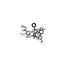 C=C[C@@H]1O[C@@H]2C3=C(C)[C@@H](OC(=O)[C@H](O)[C@@H](NC(=O)OC(C)(C)C)C(F)(F)F)C[C@@](O)([C@@H](OC(=O)c4ccccc4)[C@H]4[C@@](C)(CC[C@H]5OC[C@]54OC(C)=O)[C@@H]2O1)C3(C)C